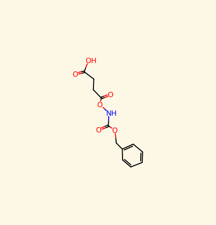 O=C(O)CCC(=O)ONC(=O)OCc1ccccc1